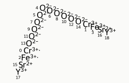 [Cr+3].[Cr+3].[Fe+3].[Fe+3].[O-2].[O-2].[O-2].[O-2].[O-2].[O-2].[O-2].[O-2].[O-2].[O-2].[O-2].[Sr+2].[Sr+2].[Y+3].[Y+3]